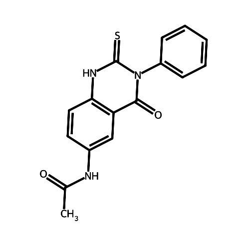 CC(=O)Nc1ccc2[nH]c(=S)n(-c3ccccc3)c(=O)c2c1